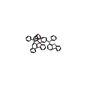 c1ccc(N(c2ccccc2)c2cc3ccccc3c3c2C2(c4ccccc4-c4ccc(N(c5ccccc5)c5cccc6c5sc5ccccc56)cc42)c2ccccc2-3)cc1